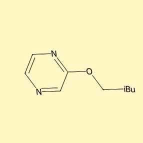 CCC(C)COc1cnccn1